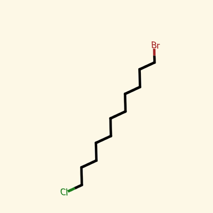 ClCCCCCCCCCCCBr